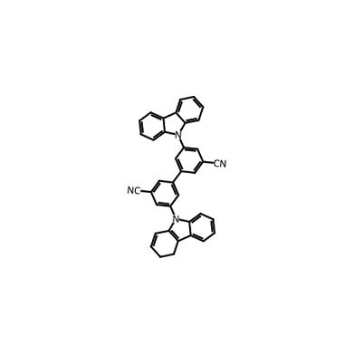 N#Cc1cc(-c2cc(C#N)cc(-n3c4ccccc4c4ccccc43)c2)cc(-n2c3c(c4ccccc42)CCC=C3)c1